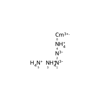 [Cm+3].[N-3].[N-3].[NH4+].[NH4+].[NH4+]